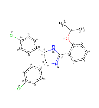 CC(C)Oc1ccccc1C1=N[C@H](c2ccc(Cl)cc2)[C@H](c2ccc(Cl)cc2)N1